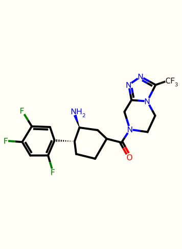 N[C@H]1CC(C(=O)N2CCn3c(nnc3C(F)(F)F)C2)CC[C@@H]1c1cc(F)c(F)cc1F